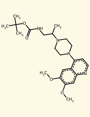 COc1cc2nccc(N3CCN(C(C)CNC(=O)OC(C)(C)C)CC3)c2cc1OC